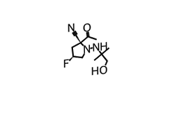 CC(=O)[C@@]1(C#N)C[C@H](F)CN1NC(C)(C)CO